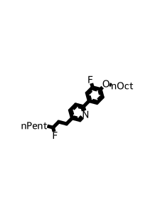 CCCCCCCCOc1ccc(-c2ccc(CCC(F)CCCCC)cn2)cc1F